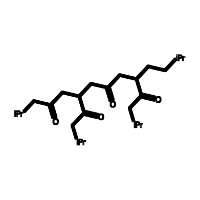 CC(C)CCC(CC(=O)CC(CC(=O)CC(C)C)C(=O)CC(C)C)C(=O)CC(C)C